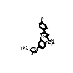 C[C@@H]1CN(c2ccc3c(c2)Cn2cc(-c4ccc(F)cc4)cc2-c2ncnn2-3)C[C@H]1CO